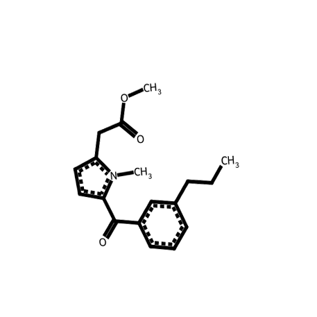 CCCc1cccc(C(=O)c2ccc(CC(=O)OC)n2C)c1